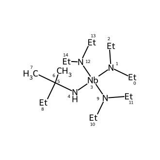 CC[N](CC)[Nb]([NH]C(C)(C)CC)([N](CC)CC)[N](CC)CC